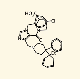 CCC1(C2(c3ccccc3)CCN(Cc3ncn(Cc4ccc(Cl)cc4)c3C(=O)N3CCCC(C(=O)O)C3)CC2)C=CC=CC1